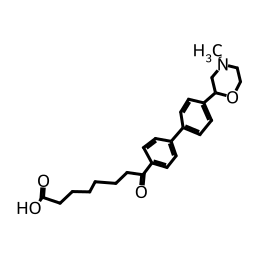 CN1CCOC(c2ccc(-c3ccc(C(=O)CCCCCCC(=O)O)cc3)cc2)C1